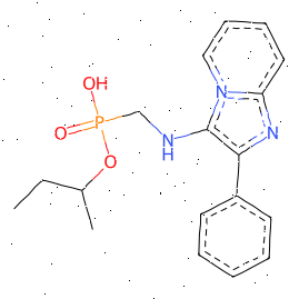 CCC(C)OP(=O)(O)CNc1c(-c2ccccc2)nc2ccccn12